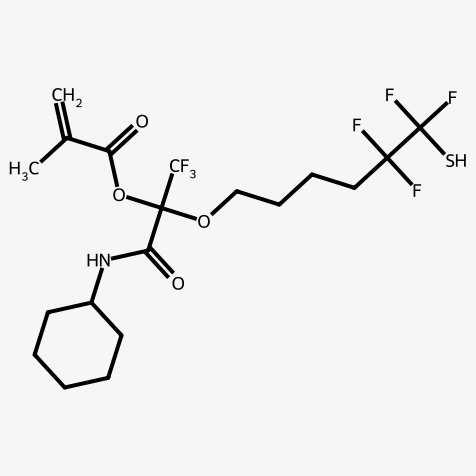 C=C(C)C(=O)OC(OCCCCC(F)(F)C(F)(F)S)(C(=O)NC1CCCCC1)C(F)(F)F